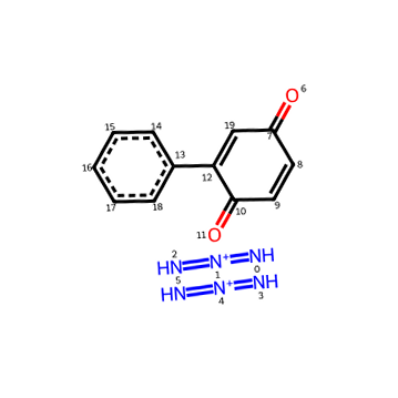 N=[N+]=N.N=[N+]=N.O=C1C=CC(=O)C(c2ccccc2)=C1